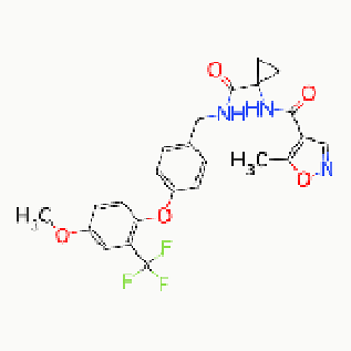 COc1ccc(Oc2ccc(CNC(=O)C3(NC(=O)c4cnoc4C)CC3)cc2)c(C(F)(F)F)c1